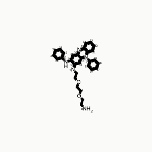 NCCOCCOCCN=c1cc2n(-c3ccccc3)c3ccccc3nc-2cc1Nc1ccccc1